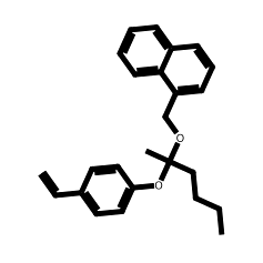 C=Cc1ccc(OC(C)(CCCC)OCc2cccc3ccccc23)cc1